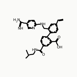 C=Cc1ccc(-c2ccc(C(=O)NCC(C)C)cc2C(=O)O)c(CNc2ccc(C(=N)N)cn2)c1